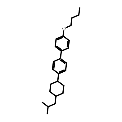 CCCCOc1ccc(-c2ccc(C3CCC(CC(C)C)CC3)cc2)cc1